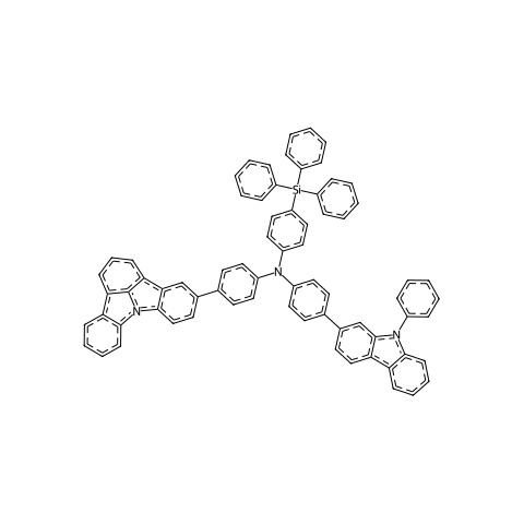 c1ccc(-n2c3ccccc3c3ccc(-c4ccc(N(c5ccc(-c6ccc7c(c6)c6cccc8c9ccccc9n7c86)cc5)c5ccc([Si](c6ccccc6)(c6ccccc6)c6ccccc6)cc5)cc4)cc32)cc1